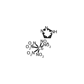 O=[N+]([O-])[Co]([N+](=O)[O-])([N+](=O)[O-])([N+](=O)[O-])([N+](=O)[O-])[N+](=O)[O-].c1c[nH]nn1